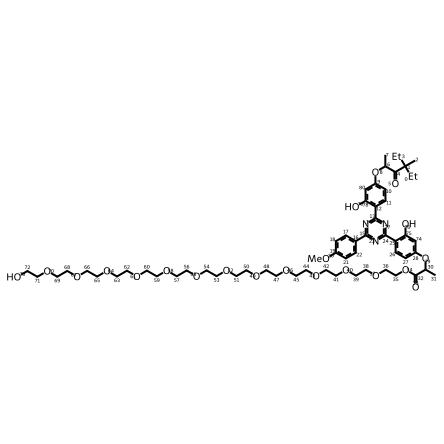 CCC(C)(CC)C(=O)C(C)Oc1ccc(-c2nc(-c3ccc(OC)cc3)nc(-c3ccc(OC(C)C(=O)OCCOCCOCCOCCOCCOCCOCCOCCOCCOCCOCCOCCOCCO)cc3O)n2)c(O)c1